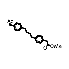 COC(=O)Cc1ccc(CCCCc2ccc(CC(C)=O)cc2)cc1